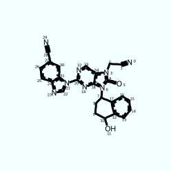 N#CCn1c(=O)n(C2CCC(O)c3ccccc32)c2nc(-n3cnc4ccc(C#N)cc43)ncc21